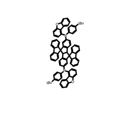 CC(C)(C)c1ccc(N(c2ccc3c(c2)C2(c4ccccc4-c4ccccc42)C2c4ccc(N(c5ccc(C(C)(C)C)cc5)c5cccc6oc7ccccc7c56)cc4C4(c5ccccc5-c5ccccc54)C32)c2cccc3oc4ccccc4c23)cc1